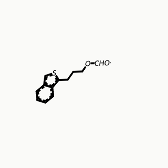 O=[C]OCCCc1scc2ccccc12